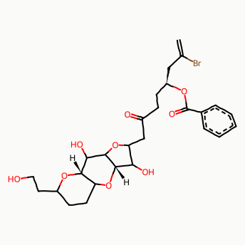 C=C(Br)C[C@H](CCC(=O)CC1OC2C(O)[C@H]3OC(CCO)CCC3O[C@H]2C1O)OC(=O)c1ccccc1